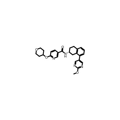 COc1ncc(-c2cccc3c2C[C@H](NC(=O)c2ccc(OC4CCOCC4)nc2)CC3)cn1